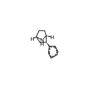 c1ccc([C@H]2C[C@@H]3CC[C@H]2N3)cc1